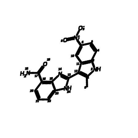 Cc1[nH]c2ccc([N+](=O)[O-])cc2c1-c1nc2c(C(N)=O)cccc2[nH]1